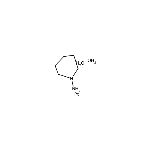 NN1CCCCC1.O.O.[Pt]